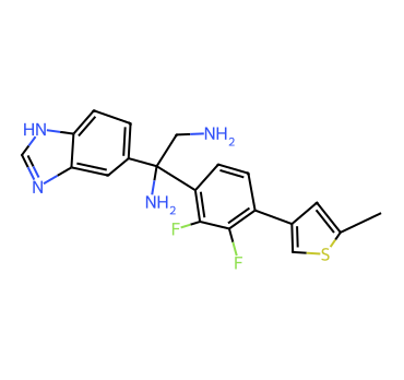 Cc1cc(-c2ccc(C(N)(CN)c3ccc4[nH]cnc4c3)c(F)c2F)cs1